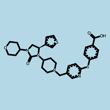 O=C(O)c1ccc(Sc2ccc(CN3CCC(N4C(=O)N(C5CCOCC5)C[C@H]4c4ccsc4)CC3)cn2)cc1